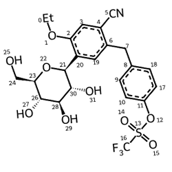 CCOc1cc(C#N)c(Cc2ccc(OS(=O)(=O)C(F)(F)F)cc2)cc1[C@@H]1O[C@H](CO)[C@@H](O)[C@H](O)[C@H]1O